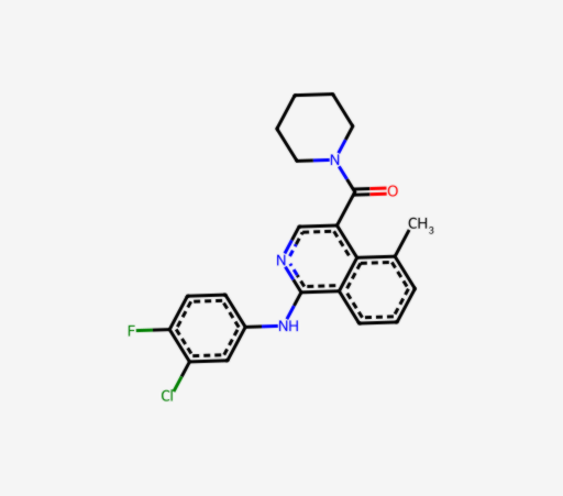 Cc1cccc2c(Nc3ccc(F)c(Cl)c3)ncc(C(=O)N3CCCCC3)c12